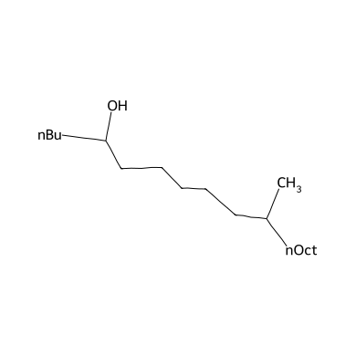 CCCCCCCCC(C)CCCCCC(O)CCCC